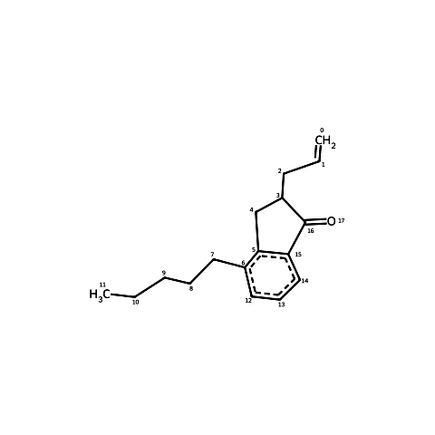 C=CCC1Cc2c(CCCCC)cccc2C1=O